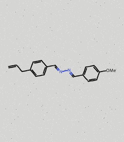 C=CCc1ccc(C=NN=Cc2ccc(OC)cc2)cc1